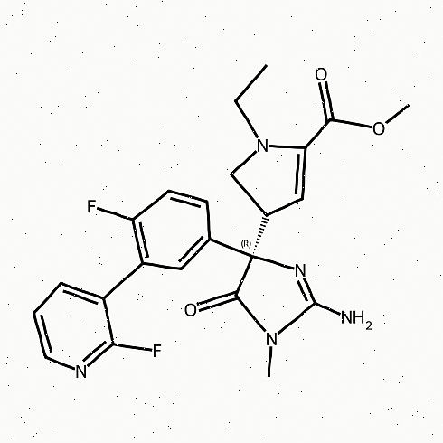 CCN1CC([C@]2(c3ccc(F)c(-c4cccnc4F)c3)N=C(N)N(C)C2=O)C=C1C(=O)OC